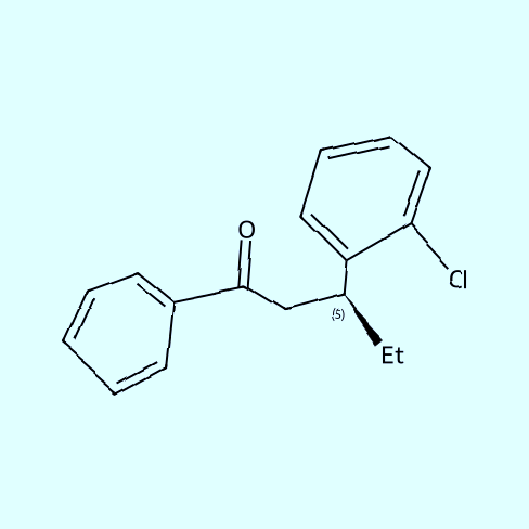 CC[C@@H](CC(=O)c1ccccc1)c1ccccc1Cl